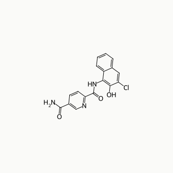 NC(=O)c1ccc(C(=O)Nc2c(O)c(Cl)cc3ccccc23)nc1